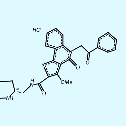 COc1c(C(=O)NC[C@H]2CCCCN2)sc2c1c(=O)n(CC(=O)c1ccccc1)c1ccccc21.Cl